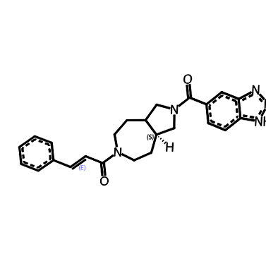 O=C(/C=C/c1ccccc1)N1CCC2CN(C(=O)c3ccc4[nH]nnc4c3)C[C@H]2CC1